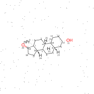 CCC[C@]12CC[C@H]3[C@@H](CC[C@H]4C[C@@H](O)CC[C@@]43C)[C@@H]1CCC2=O